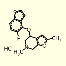 Cc1cc2c(o1)CN(C)CC2Oc1c(F)ccc2sccc12.Cl